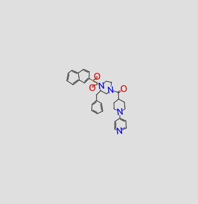 O=C(C1CCN(c2ccncc2)CC1)N1CCN(S(=O)(=O)c2ccc3ccccc3c2)C(Cc2ccccc2)C1